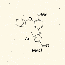 COC(=O)N1C[C@H](c2ccc(OC)c(OC3CC4CCC3C4)c2)[C@@](C)(C(C)=O)C1